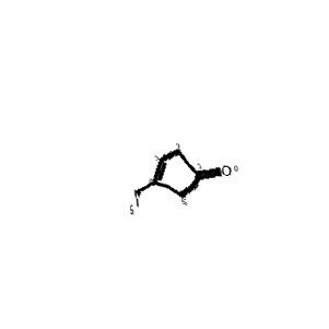 O=C1CC=C(I)C1